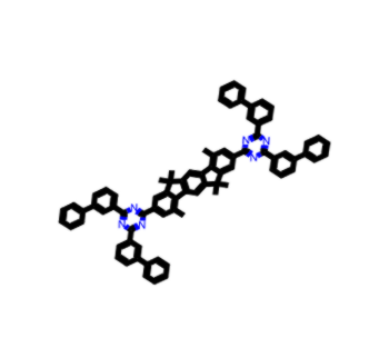 Cc1cc(-c2nc(-c3cccc(-c4ccccc4)c3)nc(-c3cccc(-c4ccccc4)c3)n2)cc2c1-c1cc3c(cc1C2(C)C)-c1c(C)cc(-c2nc(-c4cccc(-c5ccccc5)c4)nc(-c4cccc(-c5ccccc5)c4)n2)cc1C3(C)C